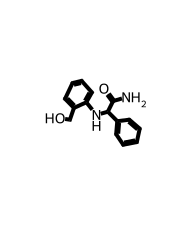 NC(=O)C(Nc1ccccc1CO)c1ccccc1